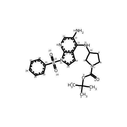 CC(C)(C)OC(=O)N1CCC(Nc2c(N)cnc3c2ccn3S(=O)(=O)c2ccccc2)C1